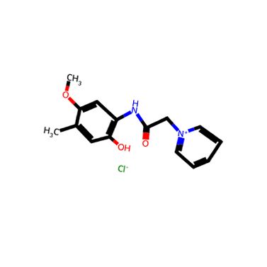 COc1cc(NC(=O)C[n+]2ccccc2)c(O)cc1C.[Cl-]